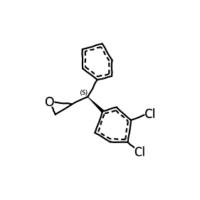 Clc1ccc([C@H](c2ccccc2)C2CO2)cc1Cl